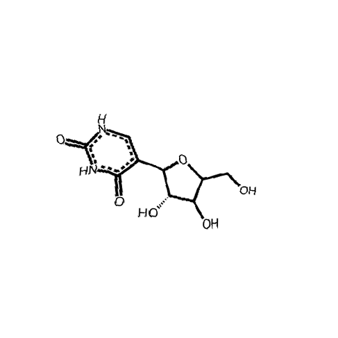 O=c1[nH]cc(C2OC(CO)C(O)[C@@H]2O)c(=O)[nH]1